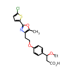 CCOC(CC(=O)O)c1ccc(OCCc2nc(-c3ccc(Cl)s3)oc2C)cc1